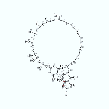 C[C@H]1C[C@H](O)[C@@H](C)/C=C/C=C/C=C/C=C/C=C/C=C/C=C/C(O[C@@H]2OC[C@@H](O)[C@H](N)[C@@H]2O)C[C@@H]2OC(O)(CC(O)CC(O)C(O)CCC(O)CC(O)CC(=O)O1)C[C@H](O)[C@H]2C(=O)NCCCF